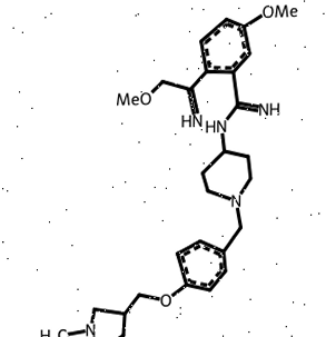 COCC(=N)c1ccc(OC)cc1C(=N)NC1CCN(Cc2ccc(OCC3CCN(C)C3)cc2)CC1